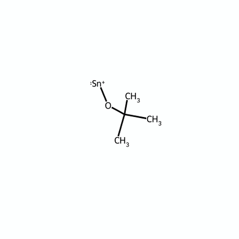 CC(C)(C)[O][Sn+]